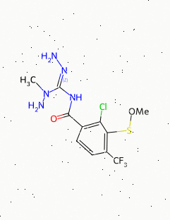 COSc1c(C(F)(F)F)ccc(C(=O)N/C(=N/N)N(C)N)c1Cl